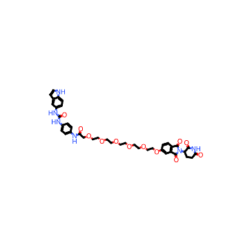 O=C1CCC(N2C(=O)c3ccc(OCCOCCOCCOCCOCCOCC(=O)Nc4ccc(NC(=O)Nc5ccc6[nH]ccc6c5)cc4)cc3C2=O)C(=O)N1